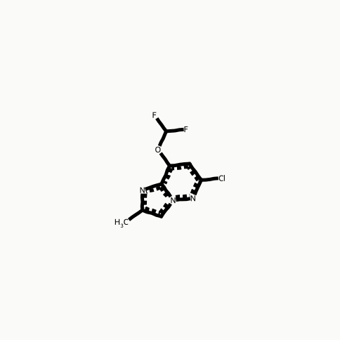 Cc1cn2nc(Cl)cc(OC(F)F)c2n1